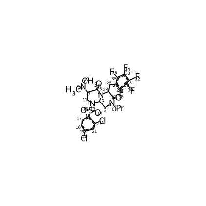 CC(C)N1CC2N(C(=O)C(N(C)C)CN2S(=O)(=O)c2ccc(Cl)cc2Cl)C(Cc2c(F)c(F)c(F)c(F)c2F)C1=O